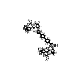 COC(=O)NC(C(=O)N1C(C)[C@H](C)C[C@H]1c1nc(-c2ccc(-c3ccc(-c4c[nH]c([C@@H]5C[C@H]6C[C@H]6N5C(=O)C(NC(=O)OC)[C@@H]5C[C@@H]6[C@H](C5)C6(F)F)n4)cc3)cc2)c[nH]1)[C@@H]1C[C@@H]2[C@H](C1)C2(F)F